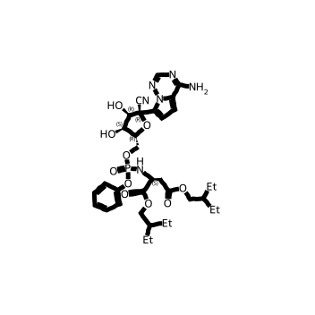 CCC(CC)COC(=O)C[C@H](NP(=O)(OC[C@H]1O[C@@](C#N)(c2ccc3c(N)ncnn23)[C@H](O)[C@@H]1O)Oc1ccccc1)C(=O)OCC(CC)CC